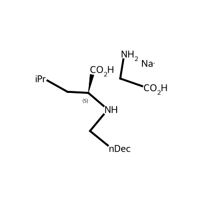 CCCCCCCCCCCN[C@@H](CC(C)C)C(=O)O.NCC(=O)O.[Na]